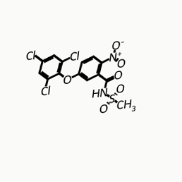 CS(=O)(=O)NC(=O)c1cc(Oc2c(Cl)cc(Cl)cc2Cl)ccc1[N+](=O)[O-]